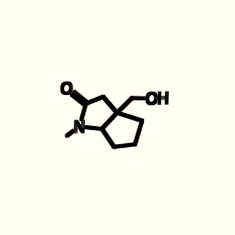 CN1C(=O)CC2(CO)CCCC12